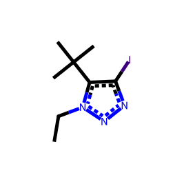 CCn1nnc(I)c1C(C)(C)C